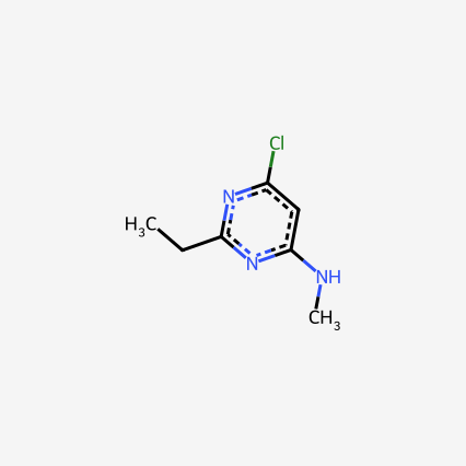 CCc1nc(Cl)cc(NC)n1